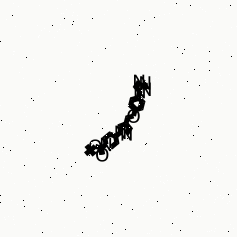 CC(C)(C)OC(=O)N1CCC(n2cc(COc3ccc(-n4cnnn4)cc3)cn2)CC1